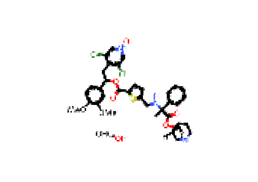 COc1ccc(C(Cc2c(Cl)c[n+]([O-])cc2Cl)OC(=O)c2ccc(CNC(C)(C(=O)O[C@H]3CN4CCC3CC4)c3ccccc3)s2)cc1OC.O=CO